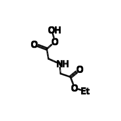 CCOC(=O)CNCC(=O)OO